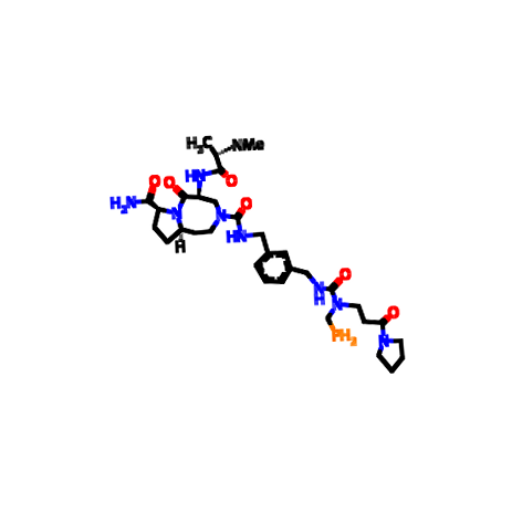 CN[C@@H](C)C(=O)N[C@H]1CN(C(=O)NCc2cccc(CNC(=O)N(CP)CCC(=O)N3CCCC3)c2)CC[C@H]2CC[C@@H](C(N)=O)N2C1=O